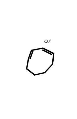 C1=CCCCCC=C1.[Cu+]